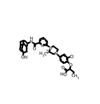 CCC(Oc1ccc(N2CCN(c3cccc(C(=O)NC4C5CC6CC4CC(O)(C6)C5)n3)[C@H](C)C2)cc1Cl)C(=O)O